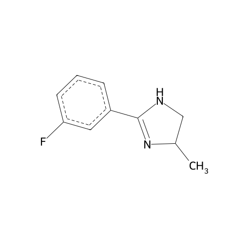 CC1CNC(c2cccc(F)c2)=N1